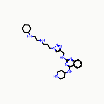 c1ccc2c(NC3CCNCC3)nc(NCc3cn(CCCNCCNC4CCCCC4)nn3)nc2c1